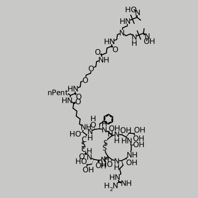 CCCCCC(NC(=O)CCCCCN[C@@H](O)[C@@H]1CSCC(=O)N[C@@H](CC(O)O)C(=O)N[C@H]2CSSC[C@H](N[C@H](O)[C@@H](CC(O)O)N[C@@H](O)CN[C@H](O)[C@@H](CCCNC(=N)N)N[C@H]2O)[C@H](O)N[C@H](Cc2ccccc2)[C@@H](O)N1)C(=O)NCCOCCOCCNC(=O)CCC(=O)NCCN(CCNC(C)(C)/C(C)=N\O)CCNC(C)(C)/C(C)=N\O